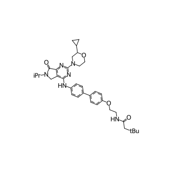 CC(C)N1Cc2c(Nc3ccc(-c4ccc(OCCNC(=O)CC(C)(C)C)cc4)cc3)nc(N3CCOC(C4CC4)C3)nc2C1=O